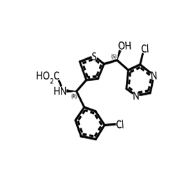 O=C(O)N[C@H](c1cccc(Cl)c1)c1csc([C@@H](O)c2cncnc2Cl)c1